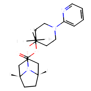 CC(C)(C)OC(=O)N1[C@@H]2CC[C@H]1C[C@@H](OC1CCN(c3ccccn3)CC1)C2